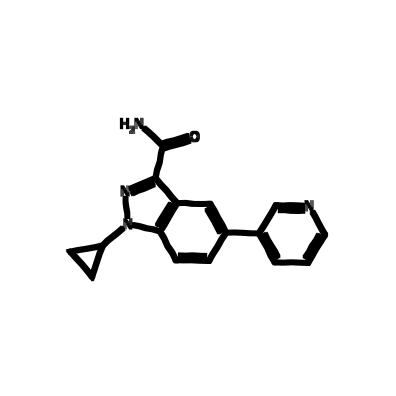 NC(=O)c1nn(C2CC2)c2ccc(-c3cccnc3)cc12